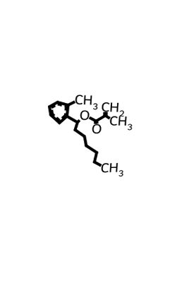 C=C(C)C(=O)OC(CCCCCC)c1ccccc1C